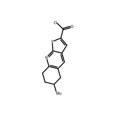 CC(C)(C)C1CCc2nc3sc(C(=O)Cl)cc3cc2C1